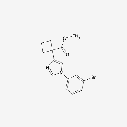 COC(=O)C1(c2cn(-c3cccc(Br)c3)cn2)CCC1